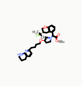 CC(C)(C)OC(=O)C(c1cccc2c1C[C@H](C(C)(C)F)CO2)N1CC[C@@H](OCCCCc2ccc3c(n2)NCCC3)C1